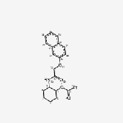 CCC(=O)OC1CCCCC1NC(=O)COc1ccc2ccccc2c1